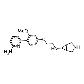 COc1cc(OCCNC2C3CNCC32)ccc1-c1cccc(N)n1